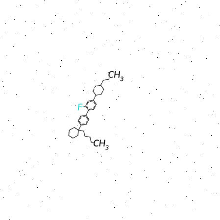 CCCCCC1(c2ccc(-c3ccc(C4CCC(CCC)CC4)cc3F)cc2)CCCCC1